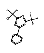 FC(F)(F)c1nc(-c2ccccc2)nc(C(Cl)(Cl)Cl)n1